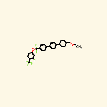 CCOCC1CCC(c2ccc(-c3ccc(C(F)(F)Oc4ccc(C(F)(F)F)c(F)c4)cc3)cc2)CC1